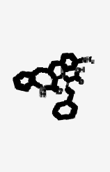 Nc1ccc(CC2Cc3ccccc3NC(=O)[C@@H]2N[C@@H](CCC2CCCCC2)C(=O)O)cc1